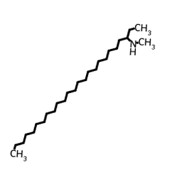 CCCCCCCCCCCCCCCCCCCCCCC(CC)NC